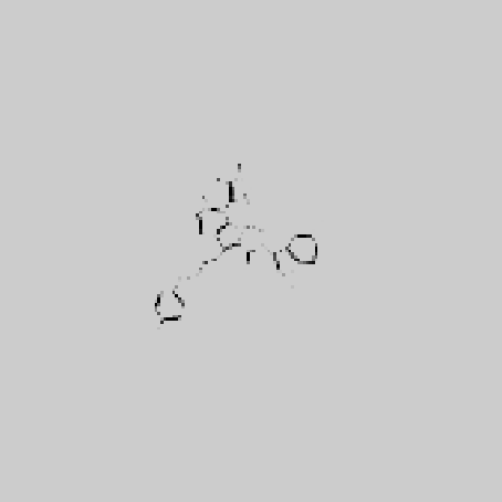 Cc1nn(C)c(C)c1-c1c(Cl)ccc2c(CCCOc3ccc(F)cc3)c3n(c12)[C@H](C)CN(c1cn(C)c2ccc(C(=O)O)cc12)C3=O